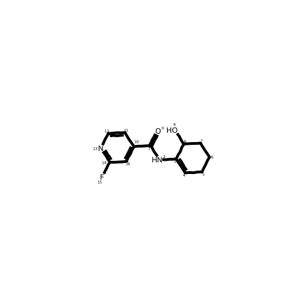 O=C(NC1=CCCCC1O)c1ccnc(F)c1